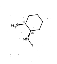 N[C@H]1CCCC[C@H]1NI